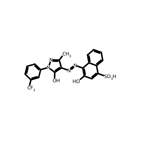 Cc1nn(-c2cccc(C(F)(F)F)c2)c(O)c1N=Nc1c(O)cc(S(=O)(=O)O)c2ccccc12